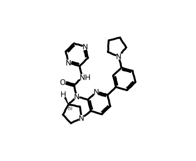 O=C(Nc1cnccn1)N1c2nc(-c3cccc(N4CCCC4)c3)ccc2N2CC[C@H]1C2